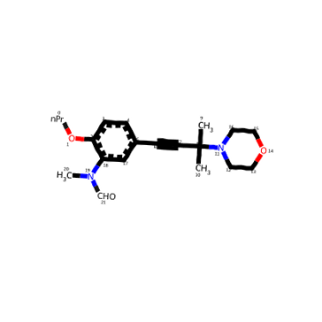 CCCOc1ccc(C#CC(C)(C)N2CCOCC2)cc1N(C)C=O